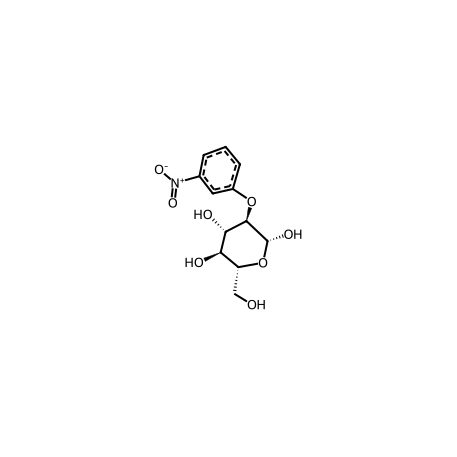 O=[N+]([O-])c1cccc(O[C@@H]2[C@@H](O)[C@H](O)[C@@H](CO)O[C@H]2O)c1